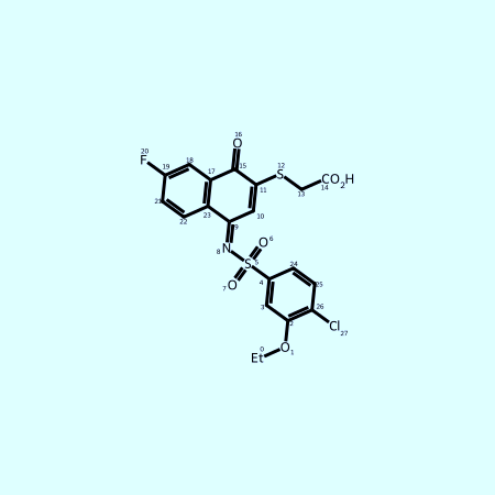 CCOc1cc(S(=O)(=O)/N=C2\C=C(SCC(=O)O)C(=O)c3cc(F)ccc32)ccc1Cl